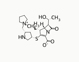 C[C@@H](O)[C@H]1C(=O)N2C(C(=O)[O-])=C(S[C@@H]3CN[C@H](C[N+]4(C)CCCC4)C3)[C@H](C)[C@H]12